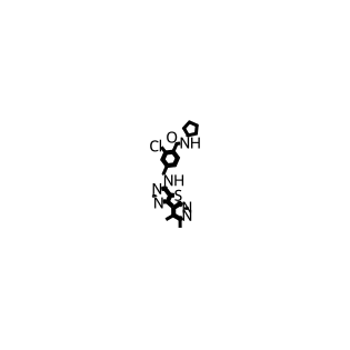 Cc1nnc2sc3c(NCc4ccc(C(=O)NC5CCCC5)c(Cl)c4)ncnc3c2c1C